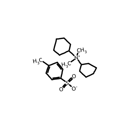 C[N+](C)(C1CCCCC1)C1CCCCC1.Cc1ccc(S(=O)(=O)[O-])cc1